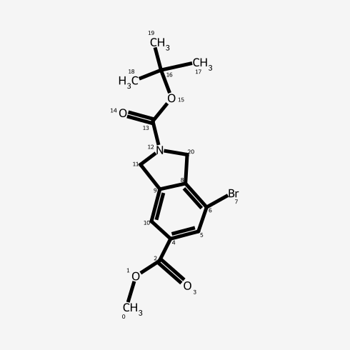 COC(=O)c1cc(Br)c2c(c1)CN(C(=O)OC(C)(C)C)C2